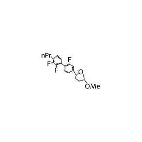 CCCc1ccc(-c2ccc(C3CCC(COC)CO3)cc2F)c(F)c1F